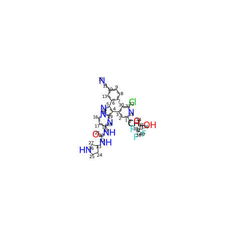 Cc1cc(-c2c(-c3cccc(C#N)c3)nn3ccc(NC(=O)N[C@@H]4CCNC4)nc23)cc(Cl)n1.O=C(O)C(F)(F)F